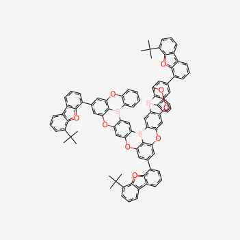 CC(C)(C)c1cccc2c1oc1c(-c3cc4c5c(c3)Oc3cc6c(cc3B5c3ccccc3O4)B3c4cc5c(cc4Oc4cc(-c7cccc8c7oc7c(C(C)(C)C)cccc78)cc(c43)O6)Oc3cc(-c4cccc6c4oc4c(C(C)(C)C)cccc46)cc4c3B5c3ccccc3O4)cccc12